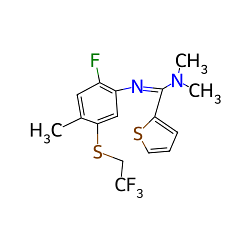 Cc1cc(F)c(/N=C(\c2cccs2)N(C)C)cc1SCC(F)(F)F